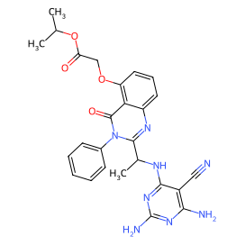 CC(C)OC(=O)COc1cccc2nc(C(C)Nc3nc(N)nc(N)c3C#N)n(-c3ccccc3)c(=O)c12